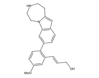 COc1ccc(-c2ccc3cc4n(c3c2)CCNCC4)c(/C=C/CO)c1